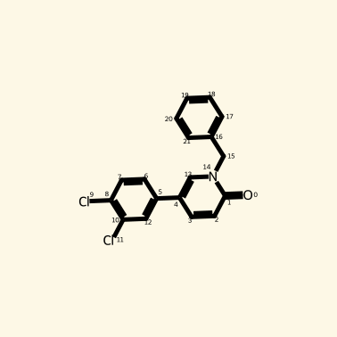 O=c1ccc(-c2ccc(Cl)c(Cl)c2)cn1Cc1ccccc1